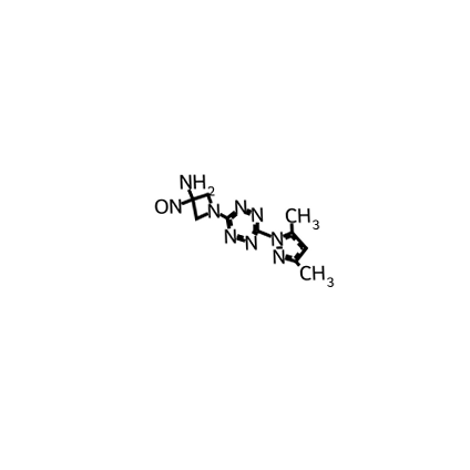 Cc1cc(C)n(-c2nnc(N3CC(N)(N=O)C3)nn2)n1